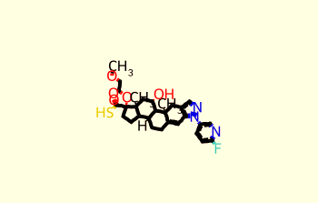 COCC(=O)O[C@]1(C(=O)S)CCC2[C@@H]3CCC4=Cc5c(cnn5-c5ccc(F)nc5)C[C@]4(C)C3[C@@H](O)C[C@@]21C